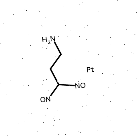 NCCC(N=O)N=O.[Pt]